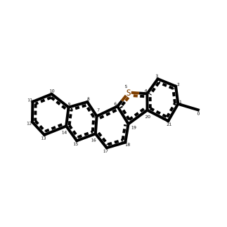 Cc1ccc2sc3c4cc5ccccc5cc4ccc3c2c1